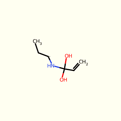 C=CC(O)(O)N[CH]CC